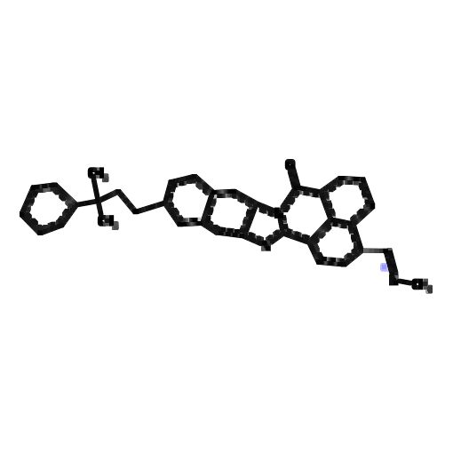 C/N=C/c1ccc2c3c1cccc3c(=O)n1c3cc4ccc(CCC(C)(C)c5ccccc5)cc4cc3nc21